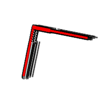 N#CS.N#CS.N#CS.N#CS.N#CS.N#CS.N#CS.N#CS.N#CS.N#CS.N#CS.N#CS.N#CS.N#CS.N#CS.N#CS.N#CS.N#CS.N#CS.N#CS.N#CS.N#CS.N#CS.N#CS.[Ca+2].[Ca+2].[Ca+2].[Ca+2].[Ca+2].[Ca+2].[Ca+2].[Ca+2].[Ca+2].[Ca+2].[Ca+2].[Ca+2].[Ca+2].[Ca+2].[Ca+2].[Ca+2].[Ca+2].[Ca+2].[Ca+2].[Ca+2].[Ca+2].[Ca+2].[Ca+2].[Ca+2].[Ca+2].[Ca+2].[Ca+2].[Ca+2].[Ca+2].[Ca+2].[Ca+2].[Ca+2].[Ca+2].[Ca+2].[Ca+2].[Ca+2].[Ca+2].[Ca+2].[Ca+2].[Ca+2].[Ca+2].[Ca+2].[Ca+2].[Ca+2].[Ca+2].[Ca+2].[Ca+2].[Ca+2].[Ca+2].[Ca+2].[Ca+2].[Ca+2].[Ca+2].[Ca+2].[Ca+2].[Ca+2].[Ca+2].[Ca+2].[Ca+2].[Ca+2].[Ca+2].[Ca+2].[Ca+2].[Ca+2].[Ca+2].[Ca+2].[Ca+2].[Ca+2].[Ca+2].[Ca+2].[Ca+2].[Ca+2].[Ca+2].[Ca+2].[Ca+2].[Ca+2]